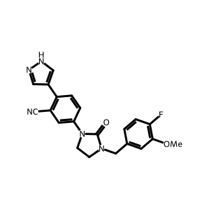 COc1cc(CN2CCN(c3ccc(-c4cn[nH]c4)c(C#N)c3)C2=O)ccc1F